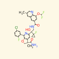 Cc1cnc2c(OC(F)F)cc(C(=O)NC[C@](O)(c3cc4c(c(-c5cc(Cl)ccc5F)n3)OC[C@]4(C)C(N)=O)C3(F)CC3)cc2c1